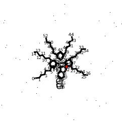 CCCCCCc1cc(CCCCCC)cc([Si](c2cc(CCCCCC)cc(CCCCCC)c2)(c2cc(CCCCCC)cc(CCCCCC)c2)[C]2([Ti+3])C3=CC=CCC3CC2C)c1.[Cl-].[Cl-].[Cl-]